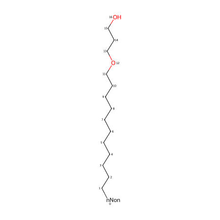 CCCCCCCCCCCCCCCCCCCCOCCCO